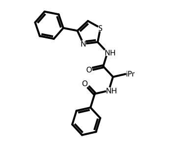 CC(C)C(NC(=O)c1ccccc1)C(=O)Nc1nc(-c2ccccc2)cs1